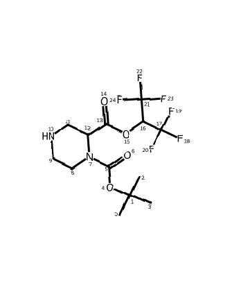 CC(C)(C)OC(=O)N1CCNCC1C(=O)OC(C(F)(F)F)C(F)(F)F